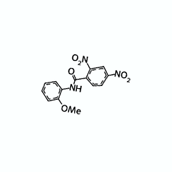 COc1ccccc1NC(=O)c1ccc([N+](=O)[O-])cc1[N+](=O)[O-]